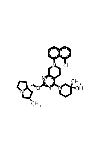 C[C@H]1CN2CCC[C@@]2(COc2nc3c(c(N4CCC[C@@](C)(O)C4)n2)CCN(c2cccc4cccc(Cl)c24)C3)C1